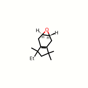 CCC1(C)CC(C)(C)C2=C1C[C@H]1O[C@@H]1C2